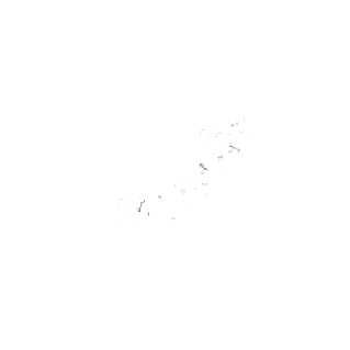 CCC(C)(C)C(=O)OC1CCC(C(C)(C)OC(=O)COC(=O)C(C)(O)C(F)(F)F)CC1